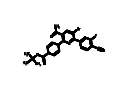 CC(C)(C)OC(=O)N1C=CN(c2nc(-c3ccc(C#N)c(F)c3)c(Br)cc2C(N)=O)C=C1